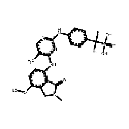 CCOc1ccc(Nc2nc(Nc3ccc(C(CC)(CC)P(=O)(O)O)cc3)ncc2C(F)(F)F)c2c1CN(C)C2=O